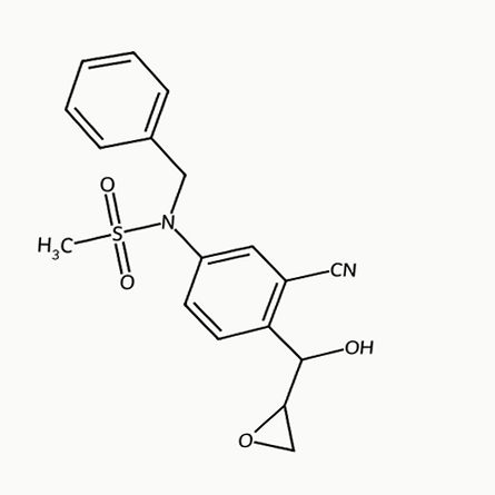 CS(=O)(=O)N(Cc1ccccc1)c1ccc(C(O)C2CO2)c(C#N)c1